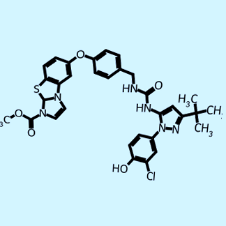 COC(=O)N1C=CN2c3cc(Oc4ccc(CNC(=O)Nc5cc(C(C)(C)C)nn5-c5ccc(O)c(Cl)c5)cc4)ccc3SC12